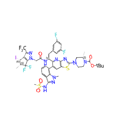 C[C@@H]1[C@H](I)c2c(C(F)(F)F)nn(CC(=O)N[C@@H](Cc3cc(F)cc(F)c3)c3nc4nc(N5CCN(C(=O)OC(C)(C)C)[C@@H](C)C5)sc4cc3-c3cccc4c(NS(C)(=O)=O)nn(C)c34)c2C1(F)F